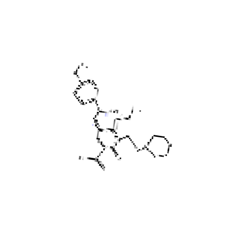 C\C=C(/C=c1/cc(C(=O)O)c(=O)n(CCN2CCOCC2)/c1=C\CC)c1ccc(OC)cc1